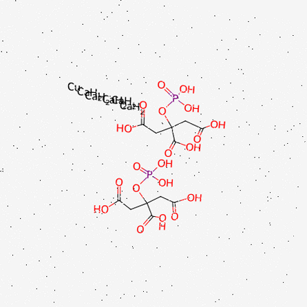 O=C(O)CC(CC(=O)O)(OP(=O)(O)O)C(=O)O.O=C(O)CC(CC(=O)O)(OP(=O)(O)O)C(=O)O.[CaH2].[CaH2].[CaH2].[CaH2].[CaH2].[Cu]